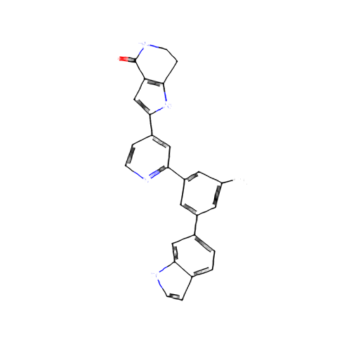 Cc1cc(-c2ccc3cc[nH]c3c2)cc(-c2cc(-c3cc4c([nH]3)CCNC4=O)ccn2)c1